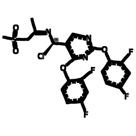 CC(CS(C)(=O)=O)=N[C@H](Cl)c1cnc(Oc2ccc(F)cc2F)nc1Oc1ccc(F)cc1F